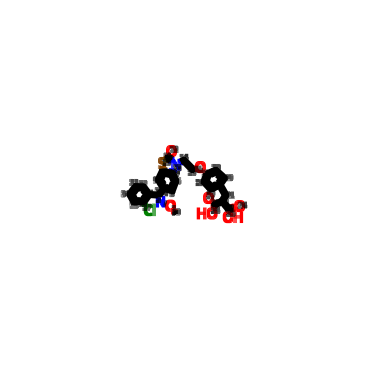 CO/N=C(\c1ccc2c(c1)sc(=O)n2CCOc1ccc(CC(C(=O)O)C(=O)O)cc1)c1ccccc1Cl